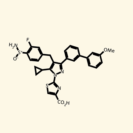 COc1cccc(-c2cccc(-c3nn(-c4nc(C(=O)O)cs4)c(C4CC4)c3Cc3ccc([S+](N)[O-])c(F)c3)c2)c1